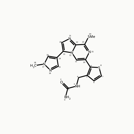 BC(=O)NCc1ccsc1-c1cn2c(-c3cnn(C)c3)cnc2c(SC)n1